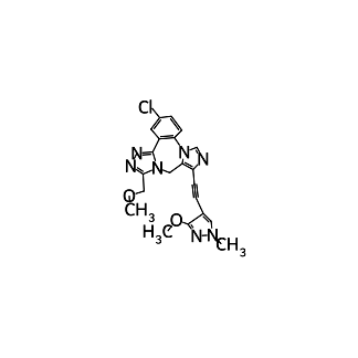 COCc1nnc2n1Cc1c(C#Cc3cn(C)nc3OC)ncn1-c1ccc(Cl)cc1-2